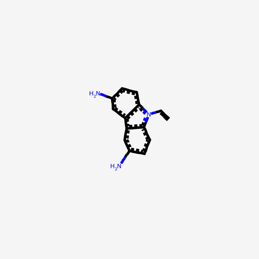 C=Cn1c2ccc(N)cc2c2cc(N)ccc21